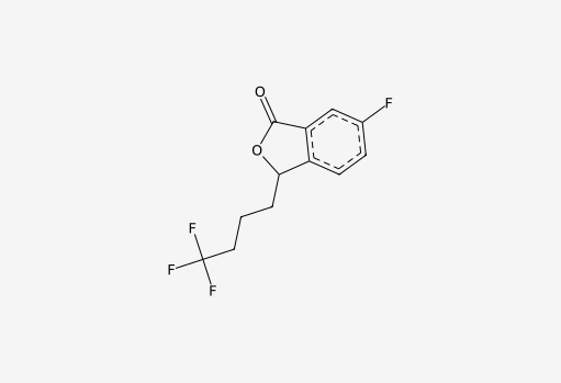 O=C1OC(CCCC(F)(F)F)c2ccc(F)cc21